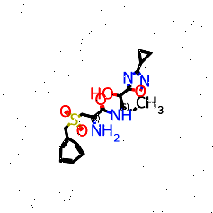 CC[C@H](NC(=O)[C@@H](N)CS(=O)(=O)Cc1ccccc1)C(O)c1nc(C2CC2)no1